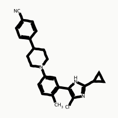 Cc1ccc(N2CCC(c3ccc(C#N)cc3)CC2)cc1-c1[nH]c(C2CC2)nc1Cl